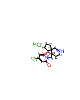 Cl.O=c1cc(Cl)ccn1CC1(O)CCNCC12CCCC2